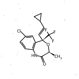 C[C@@H]1O[C@](/C=C/C2CC2)(C(F)(F)F)c2cc(Cl)ccc2NC1=O